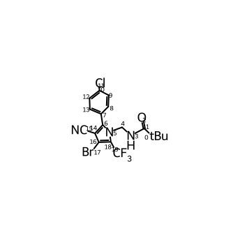 CC(C)(C)C(=O)NCn1c(-c2ccc(Cl)cc2)c(C#N)c(Br)c1C(F)(F)F